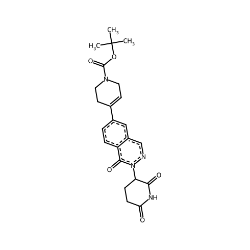 CC(C)(C)OC(=O)N1CC=C(c2ccc3c(=O)n(C4CCC(=O)NC4=O)ncc3c2)CC1